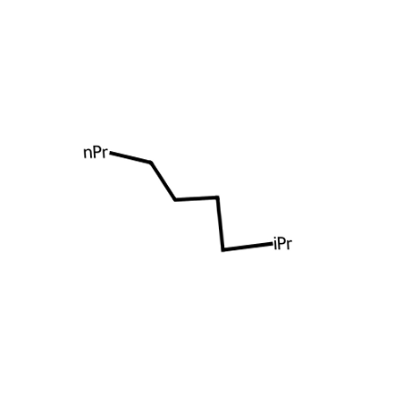 [CH2]C(C)CCCCC[CH]C